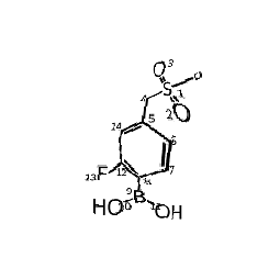 CS(=O)(=O)Cc1ccc(B(O)O)c(F)c1